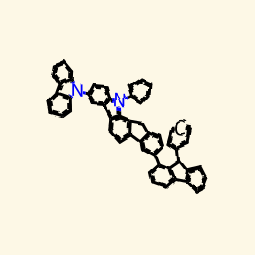 c1ccc(C2c3ccccc3-c3cccc(-c4ccc5c(c4)-c4ccc6c7cc(-n8c9ccccc9c9ccccc98)ccc7n(-c7ccccc7)c6c4C5)c32)cc1